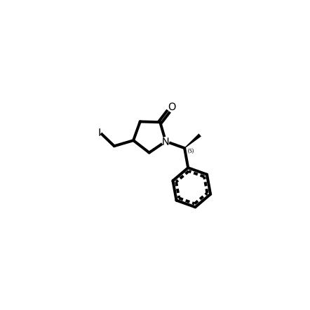 C[C@@H](c1ccccc1)N1CC(CI)CC1=O